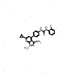 Cn1nc(N)c2c(-c3ccc(NC(=O)Nc4ccccc4F)cc3)cc(C3CC3)nc21